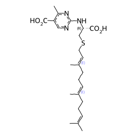 CC(C)=CCC/C(C)=C/CC/C(C)=C/CSC[C@H](Nc1ncc(C(=O)O)c(C)n1)C(=O)O